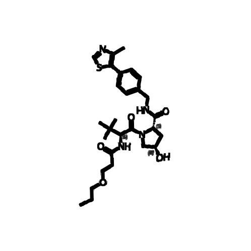 CCCOCCC(=O)N[C@H](C(=O)N1C[C@H](O)C[C@H]1C(=O)NCc1ccc(-c2scnc2C)cc1)C(C)(C)C